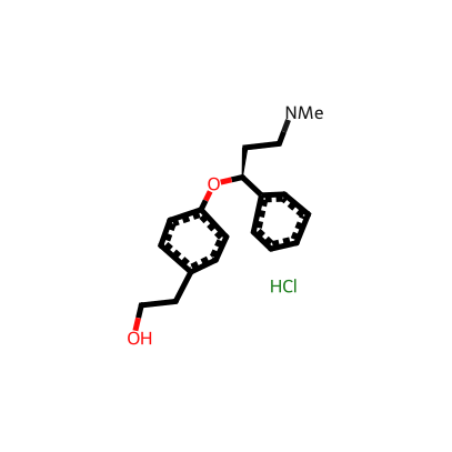 CNCC[C@H](Oc1ccc(CCO)cc1)c1ccccc1.Cl